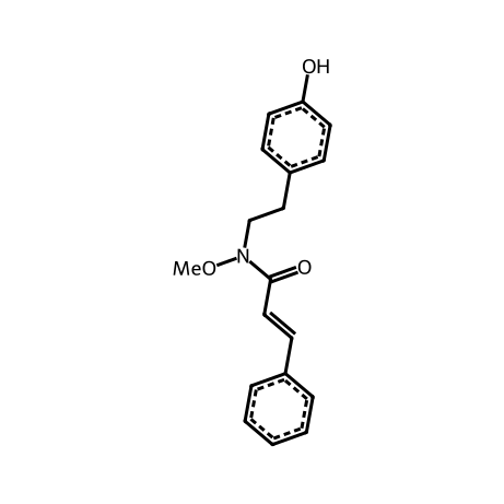 CON(CCc1ccc(O)cc1)C(=O)C=Cc1ccccc1